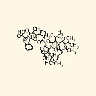 CC[C@@H](C)[C@H]([C@H](CC(=O)N1CCC[C@@H]1[C@@H](OC)[C@H](C)C(=O)N[C@H](Cc1ccccc1)C(=O)O)OC)N(C)C(=O)[C@H](NC(=O)[C@@H](C(C)C)N(C)C(=O)CCC[Si](C)(C)O)C(C)C